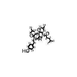 CC(C)CCC(=O)N1C[C@H]2CN(CCc3ccc(O)cc3)C(=O)[C@H](CC(C)C)N2C(=O)[C@@H]1CC(C)C